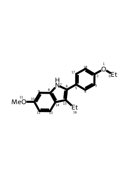 CCOc1ccc(-c2[nH]c3cc(OC)ccc3c2CC)cc1